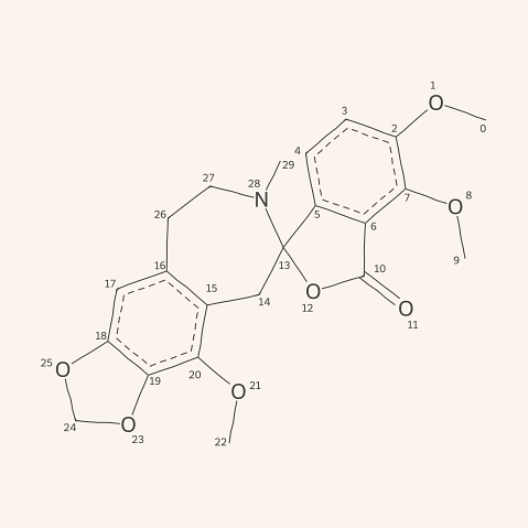 COc1ccc2c(c1OC)C(=O)OC21Cc2c(cc3c(c2OC)OCO3)CCN1C